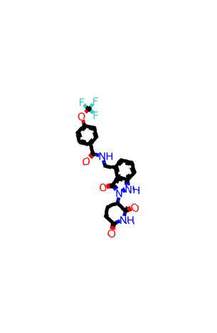 O=C1CCC(n2[nH]c3cccc(CNC(=O)c4ccc(OC(F)(F)F)cc4)c3c2=O)C(=O)N1